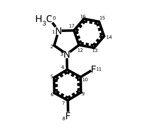 CN1CN(c2ccc(F)cc2F)c2ccccc21